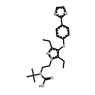 CCc1nn(CCN(C(=O)O)C(C)(C)C)c(CC)c1Sc1ccc(-c2nccs2)cc1